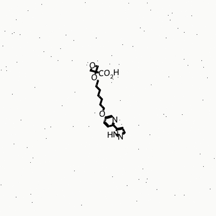 O=C(O)C1(OCCCCCCCOc2ccc(-c3ccn[nH]3)nc2)COC1